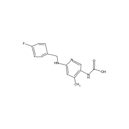 Cc1cc(NCc2ccc(F)cc2)ncc1NC(=O)O